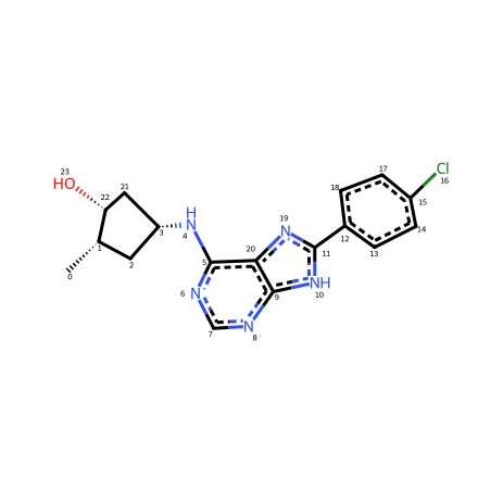 C[C@H]1C[C@@H](Nc2ncnc3[nH]c(-c4ccc(Cl)cc4)nc23)C[C@H]1O